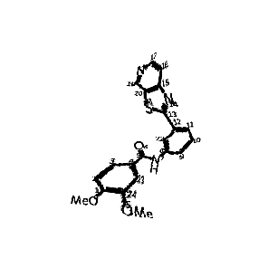 COc1ccc(C(=O)Nc2cccc(-c3nc4ccncc4s3)c2)cc1OC